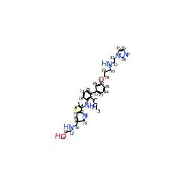 Cc1c(Nc2csc3cc(CNCCO)cnc23)cccc1-c1cccc(OCCCNCCn2ccnc2)c1